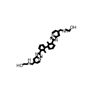 Cc1c(-c2nc3cc(CNCCO)ccn3n2)cccc1-c1cccc(-c2nc3cc(CNCCO)ccn3n2)c1C